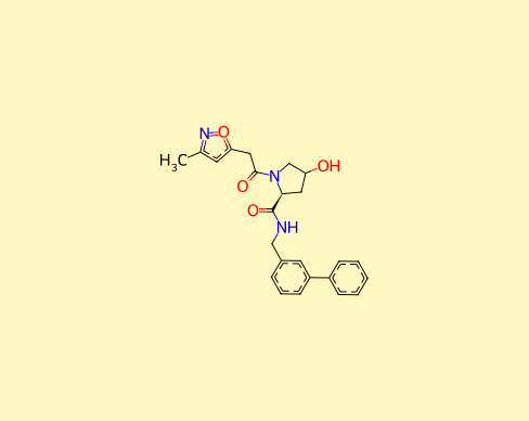 Cc1cc(CC(=O)N2CC(O)C[C@H]2C(=O)NCc2cccc(-c3ccccc3)c2)on1